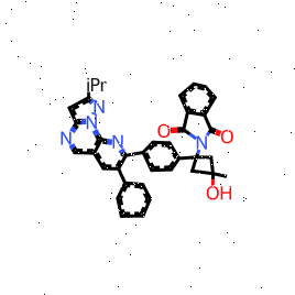 CC(C)c1cc2ncc3cc(-c4ccccc4)c(-c4ccc(C5(N6C(=O)c7ccccc7C6=O)CC(C)(O)C5)cc4)nc3n2n1